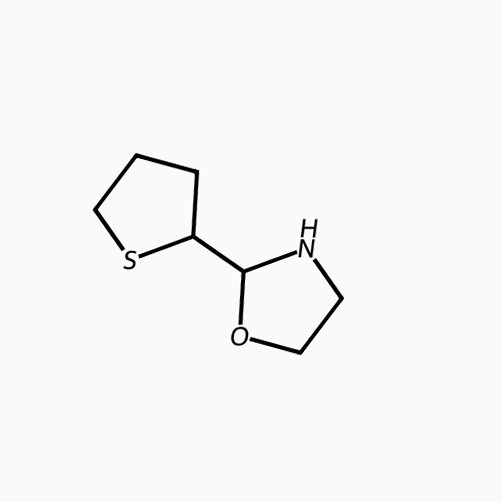 C1CSC(C2NCCO2)C1